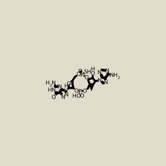 Nc1nc2c(nnn2C2OC3COP(=O)(S)OC4C(O)C(n5cnc6c(N)ncnc65)C5CC54COP(=O)(O)OC2C3O)c(=O)[nH]1